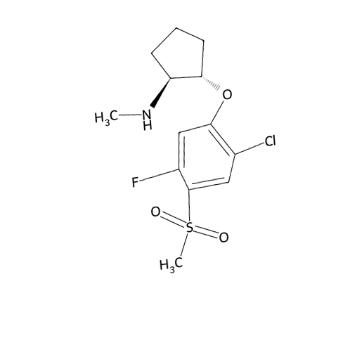 CN[C@H]1CCC[C@@H]1Oc1cc(F)c(S(C)(=O)=O)cc1Cl